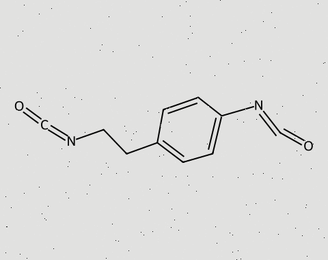 O=C=NCCc1ccc(N=C=O)cc1